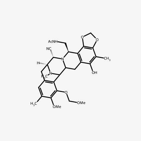 COCOc1c(OC)c(C)cc2c1C1C3Cc4c(O)c(C)c5c(c4[C@H](CNC(C)=O)N3[C@@H](C#N)[C@H](C2)N1C)OCO5